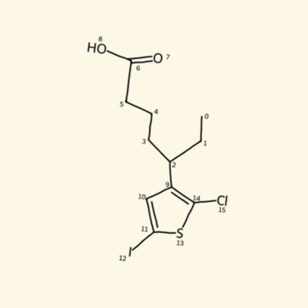 CCC(CCCC(=O)O)c1cc(I)sc1Cl